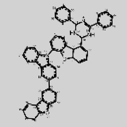 C1=CC2Oc3c(cccc3-n3c4ccccc4c4cc(-c5ccc6oc7c(c6c5)C=CCC7)ccc43)C2C(C2NC(c3ccccc3)=NC(c3ccccc3)N2)=C1